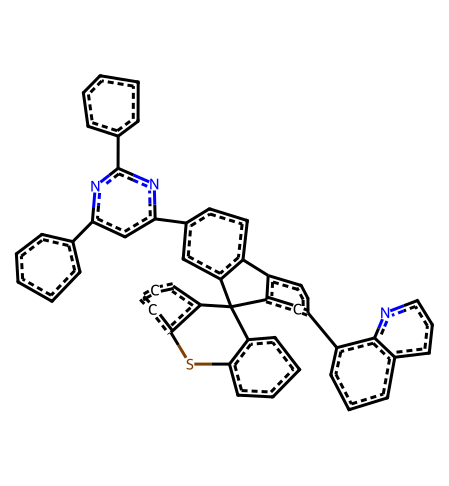 c1ccc(-c2cc(-c3ccc4c(c3)C3(c5ccccc5Sc5ccccc53)c3cc(-c5cccc6cccnc56)ccc3-4)nc(-c3ccccc3)n2)cc1